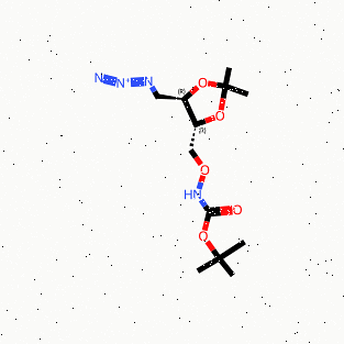 CC(C)(C)OC(=O)NOC[C@H]1OC(C)(C)O[C@@H]1CN=[N+]=[N-]